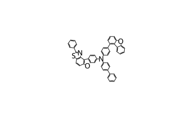 c1ccc(-c2ccc(N(c3ccc(-c4cccc5oc6ccccc6c45)cc3)c3ccc4c(c3)oc3ccc5sc(-c6ccccc6)nc5c34)cc2)cc1